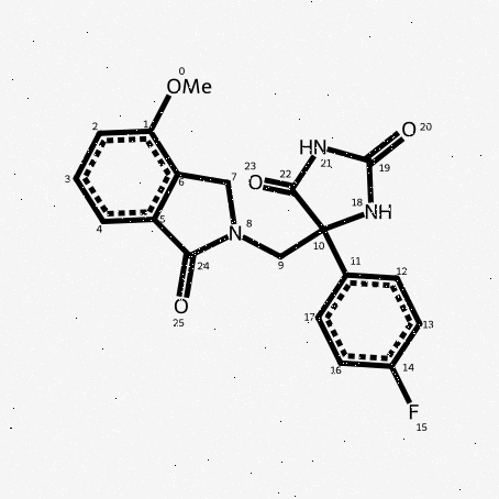 COc1cccc2c1CN(CC1(c3ccc(F)cc3)NC(=O)NC1=O)C2=O